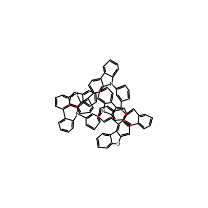 c1cc(N(c2ccc3ccccc3c2)c2ccccc2-c2cccc3oc4ccccc4c23)cc(-n2c3ccccc3c3ccc(-c4cccc5c4oc4cccc(-c6ccccc6N(c6cccc(-n7c8ccccc8c8ccccc87)c6)c6cccc7ccccc67)c45)cc32)c1